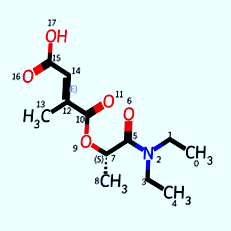 CCN(CC)C(=O)[C@H](C)OC(=O)/C(C)=C/C(=O)O